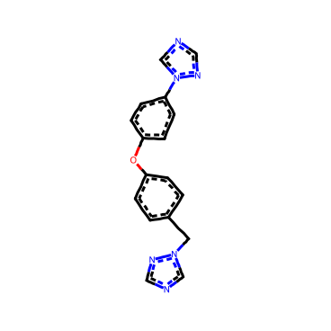 c1ncn(Cc2ccc(Oc3ccc(-n4cncn4)cc3)cc2)n1